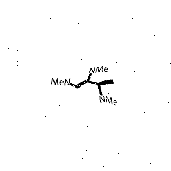 C=C(NC)C(=CNC)NC